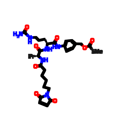 CSC(=O)OCc1ccc(NC(=O)[C@@H](CCCNC(N)=O)NC(=O)[C@H](NC(=O)CCCCCN2C(=O)C=CC2=O)C(C)C)cc1